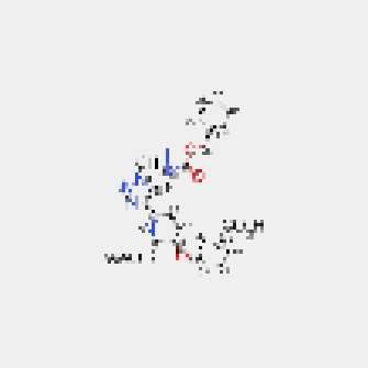 COCc1nc(-c2nnn(C)c2CNC(=O)OCc2ccccc2)ccc1O[C@H]1CCC[C@H](C(=O)O)C1